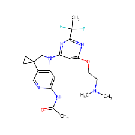 CC(=O)Nc1cc2c(cn1)C1(CC1)CN2c1cc(OCCN(C)C)nc(C(C)(F)F)n1